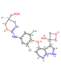 C[C@]1(CO)CN=C(Nc2cc(F)c(Oc3ccnc4[nH]cc(C5(O)COC5)c34)c(F)c2)OC1